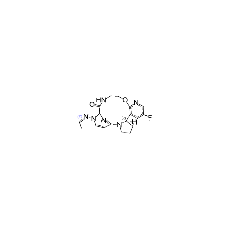 C/C=N\N1C=CC2=NC1C(=O)NCCOc1ncc(F)cc1[C@H]1CCCN21